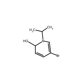 CC(C)N1C=C(Br)C=CC1O